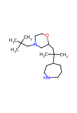 CC(C)(C)CN1CCOC(CC(C)(C)C2CCCNCC2)C1